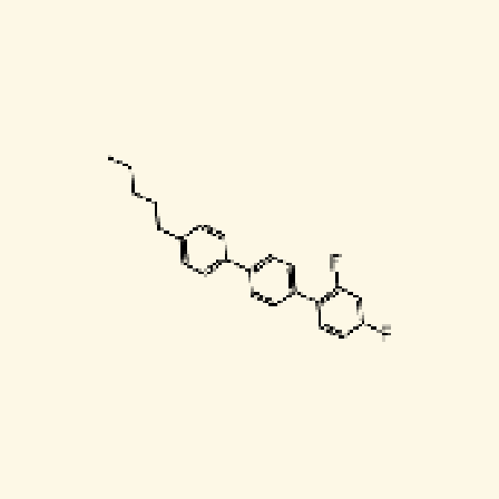 CCCCCc1ccc(-c2ccc(-c3ccc(F)cc3F)cc2)cc1